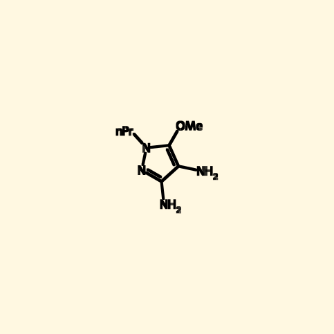 CCCn1nc(N)c(N)c1OC